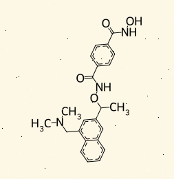 CC(ONC(=O)c1ccc(C(=O)NO)cc1)c1cc(CN(C)C)c2ccccc2c1